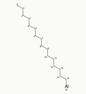 CCCCCCCCCCCCCCC[CH2][Al]